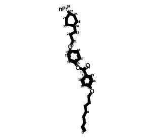 C=CCCCCCCOc1ccc(C(=O)Oc2ccc(OCCCC3CCC(CCC)CC3)cc2)cc1